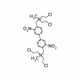 C[N+](CCCl)(CCCl)Cc1ccc(-c2ccc(C[N+](C)(CCCl)CCCl)c([N+](=O)[O-])c2)cc1[N+](=O)[O-]